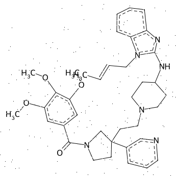 CC=CCn1c(NC2CCN(CCC3(c4cccnc4)CCN(C(=O)c4cc(OC)c(OC)c(OC)c4)C3)CC2)nc2ccccc21